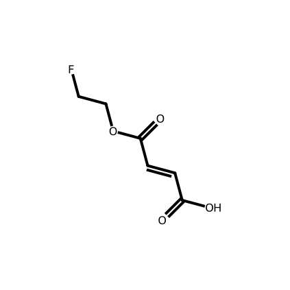 O=C(O)C=CC(=O)OCCF